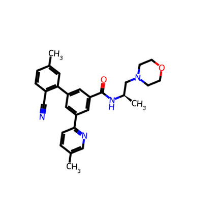 Cc1ccc(-c2cc(C(=O)N[C@H](C)CN3CCOCC3)cc(-c3cc(C)ccc3C#N)c2)nc1